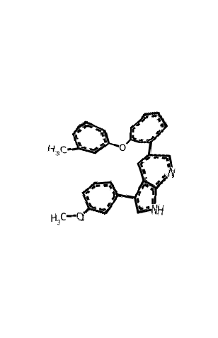 COc1cccc(-c2c[nH]c3ncc(-c4ccccc4Oc4cccc(C)c4)cc23)c1